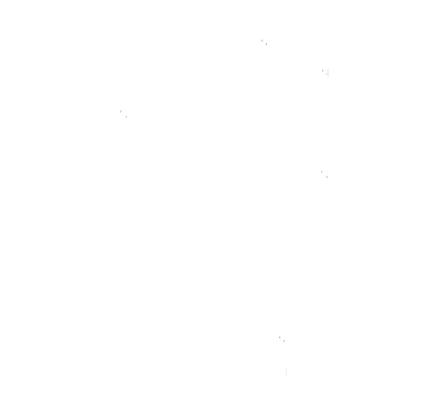 CN1CC(=O)N2CCc3c(c4cc(OCCN5CCCCC5)ccc4n3Cc3ccc(C(=O)NO)cc3)C2C1=O